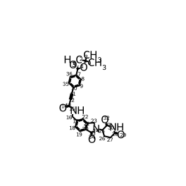 CC(C)(C)OC(=O)c1ccc(C#CC(=O)NCc2ccc3c(c2)CN(C2CCC(=O)NC2=O)C3=O)cc1